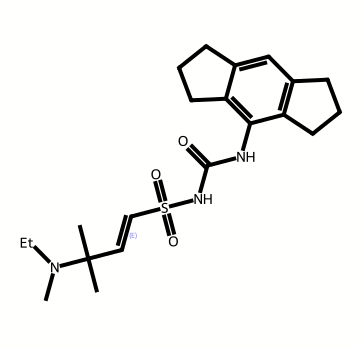 CCN(C)C(C)(C)/C=C/S(=O)(=O)NC(=O)Nc1c2c(cc3c1CCC3)CCC2